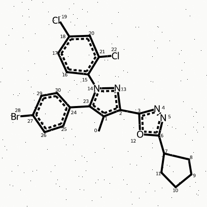 Cc1c(-c2nnc(C3CCCC3)o2)nn(-c2ccc(Cl)cc2Cl)c1-c1ccc(Br)cc1